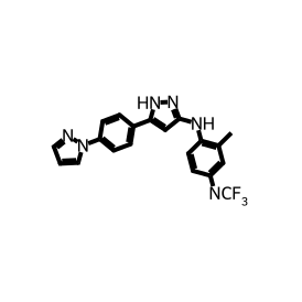 Cc1cc(NC(F)(F)F)ccc1Nc1cc(-c2ccc(-n3cccn3)cc2)[nH]n1